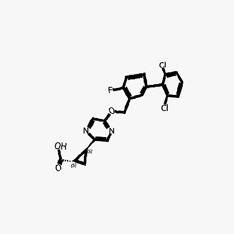 O=C(O)[C@H]1C[C@@H]1c1cnc(OCc2cc(-c3c(Cl)cccc3Cl)ccc2F)cn1